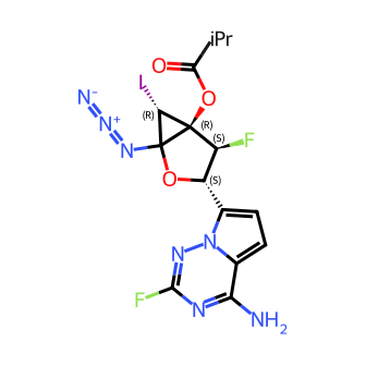 CC(C)C(=O)O[C@@]12[C@@H](F)[C@H](c3ccc4c(N)nc(F)nn34)OC1(N=[N+]=[N-])[C@@H]2I